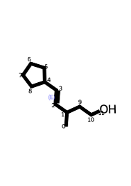 CC(/C=C/C1CCCC1)CCO